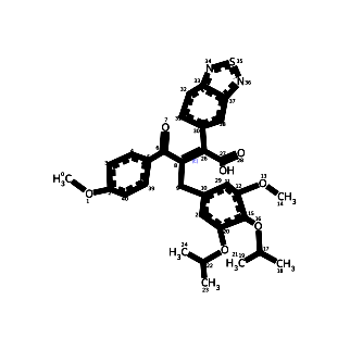 COc1ccc(C(=O)/C(Cc2cc(OC)c(OC(C)C)c(OC(C)C)c2)=C(/C(=O)O)c2ccc3nsnc3c2)cc1